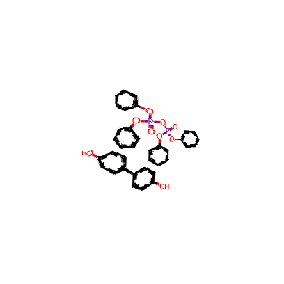 O=P(Oc1ccccc1)(Oc1ccccc1)OP(=O)(Oc1ccccc1)Oc1ccccc1.Oc1ccc(-c2ccc(O)cc2)cc1